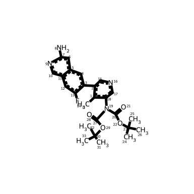 Cc1c(-c2cc3cc(N)ncc3cc2F)cncc1N(C(=O)OC(C)(C)C)C(=O)OC(C)(C)C